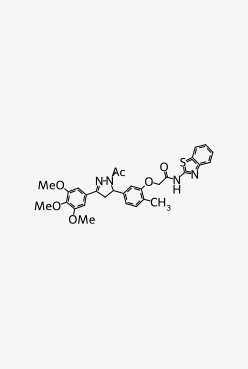 COc1cc(C2=NN(C(C)=O)C(c3ccc(C)c(OCC(=O)Nc4nc5ccccc5s4)c3)C2)cc(OC)c1OC